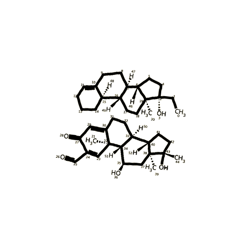 CC[C@]1(O)CC[C@H]2[C@@H]3CCC4=CCCC[C@@H]4[C@H]3CC[C@@]21C.C[C@]12C=C(C=O)C(=O)C=C1CC[C@@H]1[C@@H]2[C@H](O)C[C@@]2(C)[C@H]1CC[C@]2(C)O